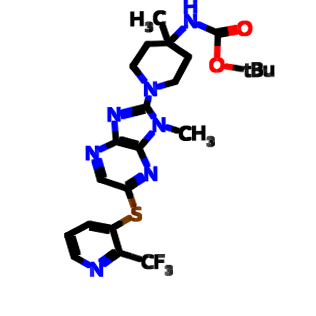 Cn1c(N2CCC(C)(NC(=O)OC(C)(C)C)CC2)nc2ncc(Sc3cccnc3C(F)(F)F)nc21